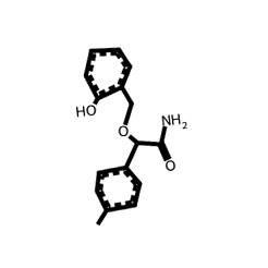 Cc1ccc(C(OCc2ccccc2O)C(N)=O)cc1